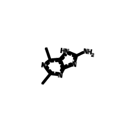 Cc1nc(C)c2[nH]c(N)nc2n1